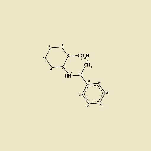 CC(NC1CCCCC1C(=O)O)c1ccccc1